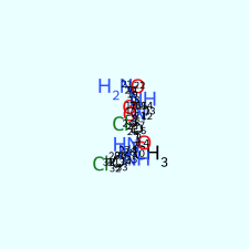 C[C@H](NC(=O)c1ccc(C(=O)N2CCC[C@H]2C(=O)NCC(N)=O)c(Cl)c1)c1nc2cc(Cl)ccc2[nH]1